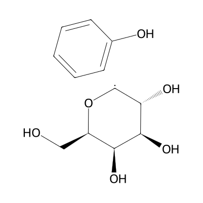 OC[C@H]1O[CH][C@H](O)[C@@H](O)[C@H]1O.Oc1ccccc1